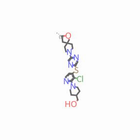 C[C@H]1CC2(CCN(c3cnc(Sc4ccnc(N5CCC(CO)CC5)c4Cl)cn3)CC2)CO1